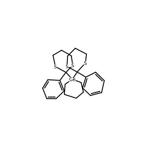 c1ccc([C]2([Ge]3([C]4(c5ccccc5)SCCCS4)[CH2]CCC[CH2]3)SCCCS2)cc1